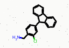 NCc1ccc(C2c3ccccc3-c3ccccc32)cc1Cl